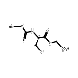 CC(C)(C)OC(=O)N[C@H](CS)C(=O)OCC(=O)O